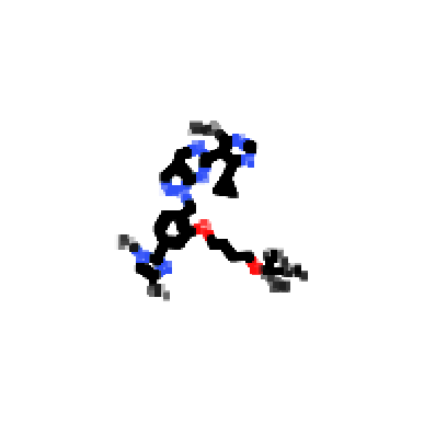 COc1ncnc(C2CC2)c1-c1ncc2cnn(Cc3ccc(-c4nc(C(F)(F)F)cn4C(C)C)cc3OCCCCO[Si](C)(C)C(C)(C)C)c2n1